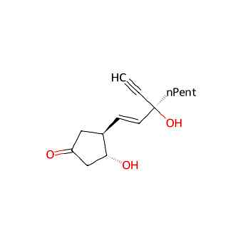 C#C[C@@](O)(C=C[C@@H]1CC(=O)C[C@H]1O)CCCCC